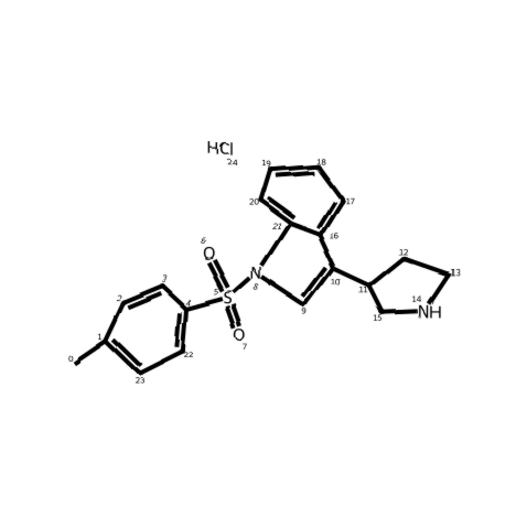 Cc1ccc(S(=O)(=O)n2cc(C3CCNC3)c3ccccc32)cc1.Cl